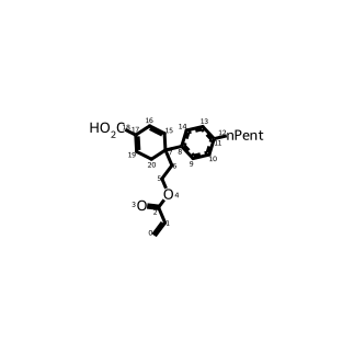 C=CC(=O)OCCC1(c2ccc(CCCCC)cc2)C=CC(C(=O)O)=CC1